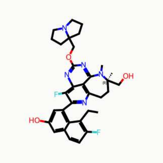 CCc1c(F)ccc2cc(O)cc(-c3nc4c5c(nc(OCC67CCCN6CCC7)nc5c3F)N(C)[C@@](C)(CO)CC4)c12